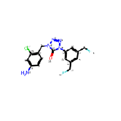 Nc1ccc(Cn2nnn(-c3cc(CF)cc(CF)c3)c2=O)c(Cl)c1